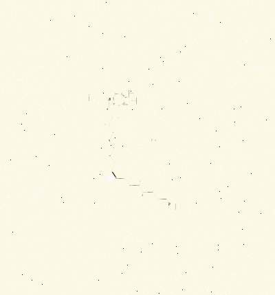 CCCCCCCC/C=C\CCCCCCCC[N+](C)(CC)CC.[Cl-]